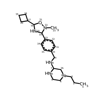 CCCN1CCNC(NCc2ccc(C3NC(C4CCC4)ON3C)cc2)C1